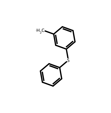 [CH2]c1cccc(Sc2ccccc2)c1